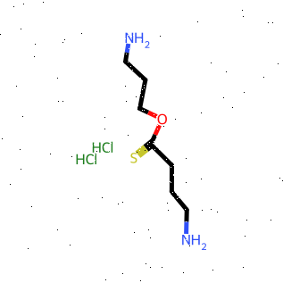 Cl.Cl.NCCCOC(=S)CCCN